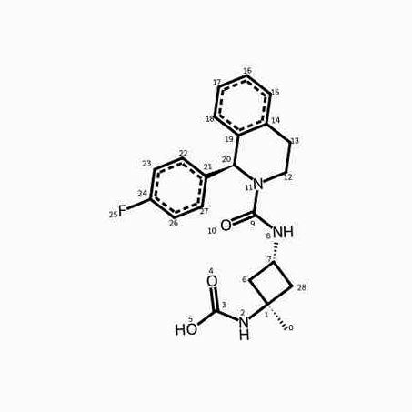 C[C@]1(NC(=O)O)C[C@H](NC(=O)N2CCc3ccccc3[C@@H]2c2ccc(F)cc2)C1